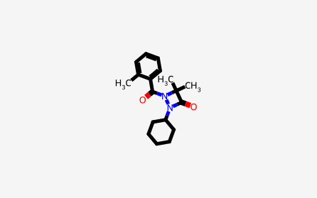 Cc1ccccc1C(=O)N1N(C2CCCCC2)C(=O)C1(C)C